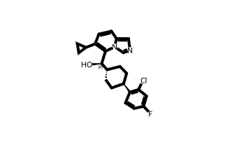 O[C@@H](c1c(C2CC2)ccc2cncn12)[C@H]1CC[C@H](c2ccc(F)cc2Cl)CC1